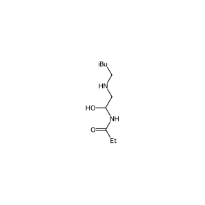 CCC(=O)NC(O)CNCC(C)CC